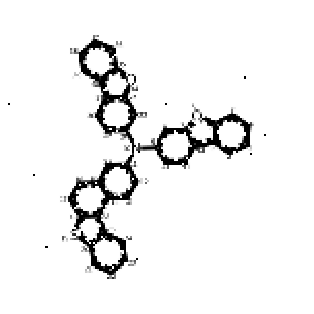 c1ccc2c(c1)oc1cc(N(c3ccc4c(ccc5sc6ccccc6c54)c3)c3ccc4c(c3)oc3ccccc34)ccc12